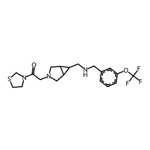 O=C(CN1CC2C(CNCc3cccc(OC(F)(F)F)c3)C2C1)N1CCSC1